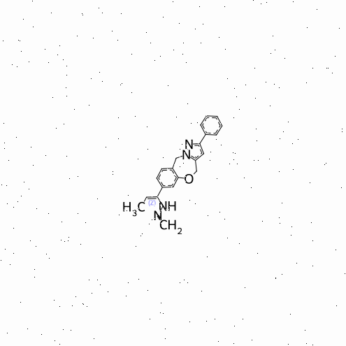 C=NN/C(=C\C)c1ccc2c(c1)OCc1cc(-c3ccccc3)nn1C2